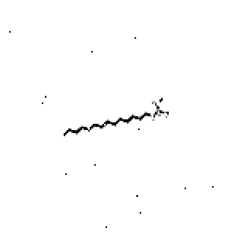 CCCCCCCCCCCCCCOP(O)OC